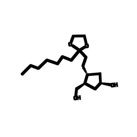 CCCCCCCC1(CC[C@@H]2C[C@@H](O)C[C@H]2CO)OCCO1